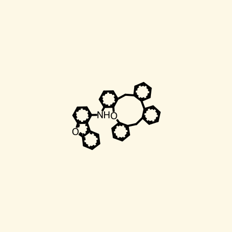 c1ccc2c(c1)Cc1ccccc1-c1ccccc1Cc1cccc(Nc3cccc4oc5ccccc5c34)c1O2